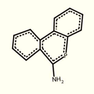 Nc1pc2ccccc2c2ccccc12